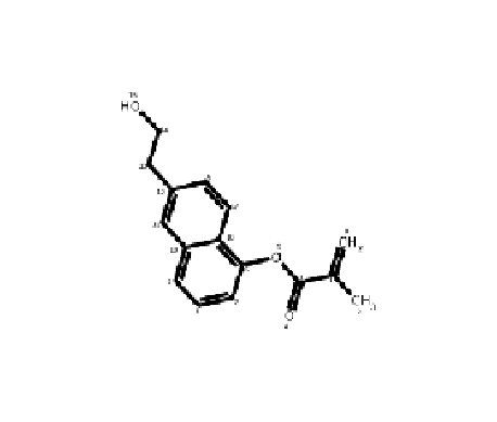 C=C(C)C(=O)Oc1cccc2cc(CCO)ccc12